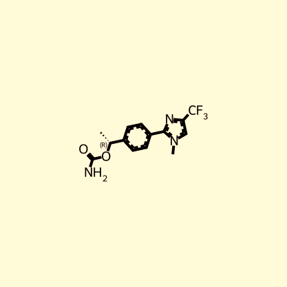 C[C@@H](OC(N)=O)c1ccc(-c2nc(C(F)(F)F)cn2C)cc1